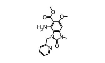 COC(=O)c1c(OC)cc2c(c1N)n(Cc1ccccn1)c(=O)n2C